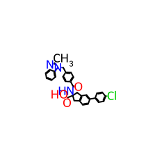 Cc1nc2ccccc2n1Cc1ccc(C(=O)NC2(C(=O)O)Cc3ccc(-c4ccc(Cl)cc4)cc3C2)cc1